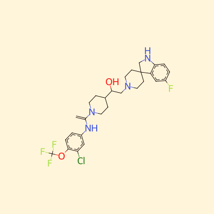 C=C(Nc1ccc(OC(F)(F)F)c(Cl)c1)N1CCC(C(O)CN2CCC3(CC2)CNc2ccc(F)cc23)CC1